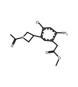 COC(=O)Cc1cc(C2CN(C(C)=O)C2)c(Cl)cc1N